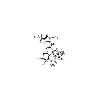 COc1c([C@H]2[C@H](C(=O)Nc3cc(S(C)(=O)=O)nn3C)O[C@@](C)(C(F)(F)F)[C@H]2C)ccc(F)c1F